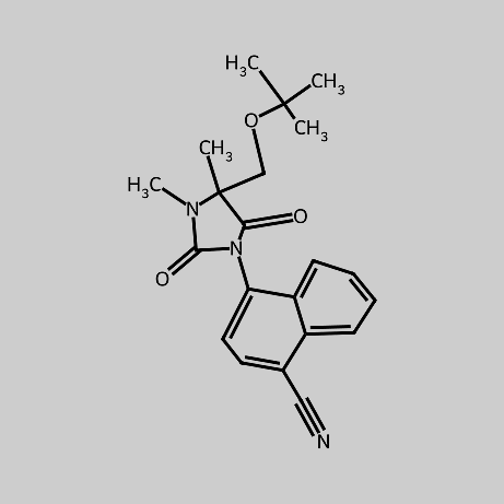 CN1C(=O)N(c2ccc(C#N)c3ccccc23)C(=O)C1(C)COC(C)(C)C